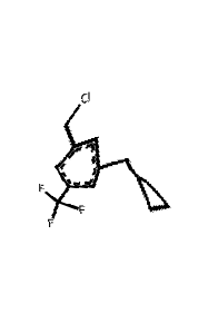 FC(F)(F)c1cc(CCl)cc(CC2CC2)c1